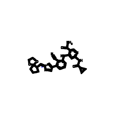 N#Cc1c(Nc2cc(NC(=O)C3CC3)ncc2C(N)=O)cccc1C1=C/[N+](=C/C2CCCC23OCCO3)N=C1